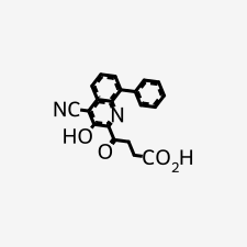 N#Cc1c(O)c(C(=O)CCC(=O)O)nc2c(-c3ccccc3)cccc12